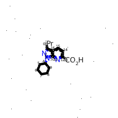 CC(C)c1nn(C2CCCCC2)c2nc(C(=O)O)ccc12